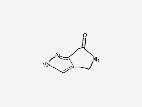 O=C1NCc2c[nH]nc21